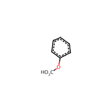 O=C(O)Oc1cc[c]cc1